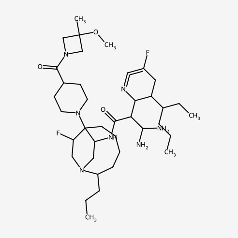 CCCC(CC)C1CC(F)=C=NC1C(C(=O)NC1CN2CC(F)C1(N1CCC(C(=O)N3CC(C)(OC)C3)CC1)CCCCC2CCC)C(N)N